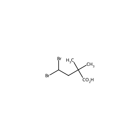 CC(C)(CC(Br)Br)C(=O)O